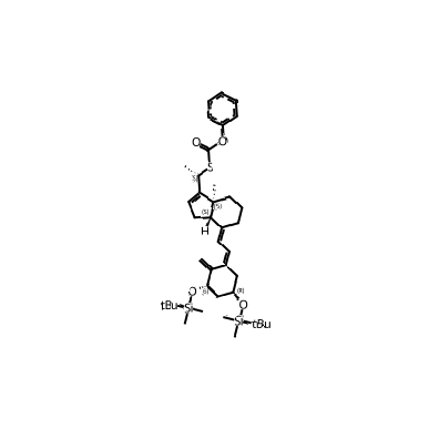 C=C1C(=CC=C2CCC[C@]3(C)C([C@H](C)SC(=O)Oc4ccccc4)=CC[C@@H]23)C[C@@H](O[Si](C)(C)C(C)(C)C)C[C@@H]1O[Si](C)(C)C(C)(C)C